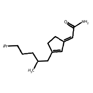 CC(C)CCCC(C)CC1=C/C(=C/C(N)=O)CC1